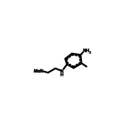 CNCCNc1ccc(N)c(C)c1